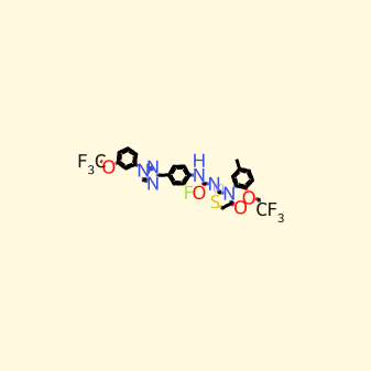 Cc1ccc(OCC(F)(F)F)c(N2C(=O)CS/C2=N\C(=O)Nc2ccc(-c3ncn(-c4cccc(OC(F)(F)F)c4)n3)cc2F)c1